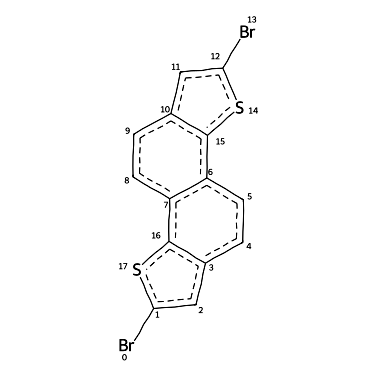 Brc1cc2ccc3c(ccc4cc(Br)sc43)c2s1